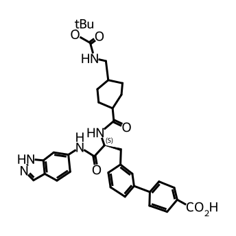 CC(C)(C)OC(=O)NCC1CCC(C(=O)N[C@@H](Cc2cccc(-c3ccc(C(=O)O)cc3)c2)C(=O)Nc2ccc3cn[nH]c3c2)CC1